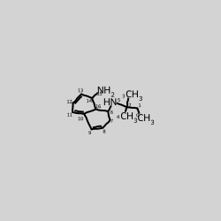 CCC(C)(C)NC1CC=CC2=CC=CC(N)C21